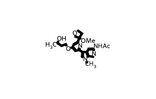 COC1(c2cc(OCCC(C)O)cc(-c3cn(C)c4cnc(NC(C)=O)cc34)n2)CCOC1